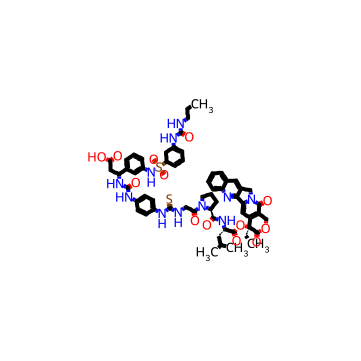 CCCNC(=O)NC1=CC=CC(S(=O)(=O)Nc2cccc(C(CC(=O)O)NC(=O)Nc3ccc(NC(=S)NCC(=O)N4CCC[C@H]4C(=O)N[C@@H](CC(C)C)C(=O)O[C@]4(CC)C(=O)OCc5c4cc4n(c5=O)Cc5cc6ccccc6nc5-4)cc3)c2)C1